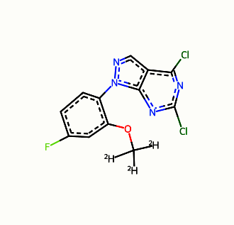 [2H]C([2H])([2H])Oc1cc(F)ccc1-n1ncc2c(Cl)nc(Cl)nc21